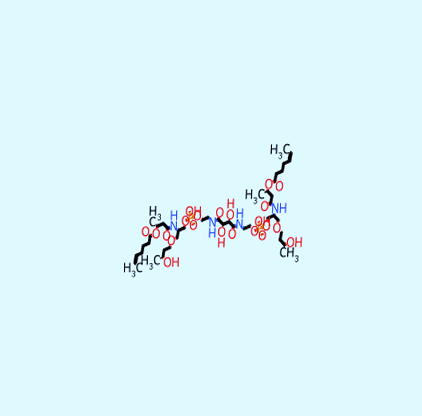 C/C=C\CCCC(=O)O[C@H](C)CC(=O)NC(COCC[C@@H](C)O)COP(=O)(O)OCCNC(=O)[C@@H](O)[C@H](O)C(=O)NCCOP(=O)(O)OCC(COCC[C@@H](C)O)NC(=O)C[C@@H](C)OC(=O)CCC/C=C\C